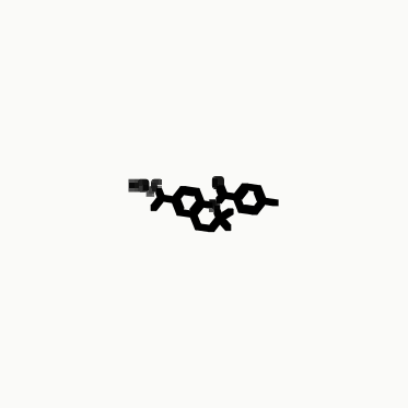 Cc1ccc(C(=O)N2c3ccc(C(C)C(=O)O)cc3CCC2(C)C)cc1